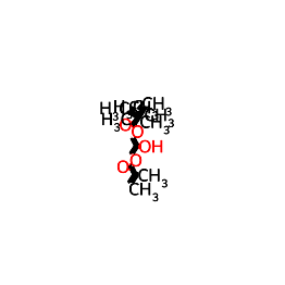 C/C=C(\C)C(=O)OCC(O)COC(=O)C(C)(C(C)(C)C)C(C)(C)C